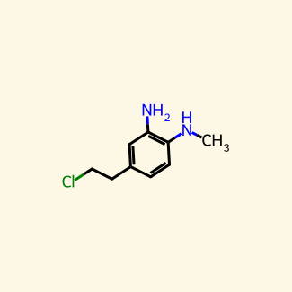 CNc1ccc(CCCl)cc1N